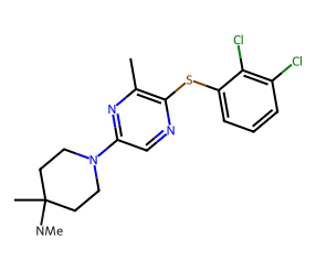 CNC1(C)CCN(c2cnc(Sc3cccc(Cl)c3Cl)c(C)n2)CC1